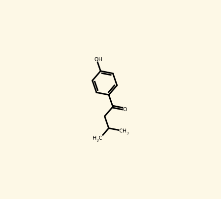 CC(C)CC(=O)c1ccc(O)cc1